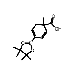 CC1(C(=O)O)C=CC(B2OC(C)(C)C(C)(C)O2)=CC1